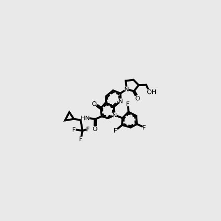 O=C(NC(C1CC1)C(F)(F)F)c1cn(-c2c(F)cc(F)cc2F)c2nc(N3CCC(CO)C3=O)ccc2c1=O